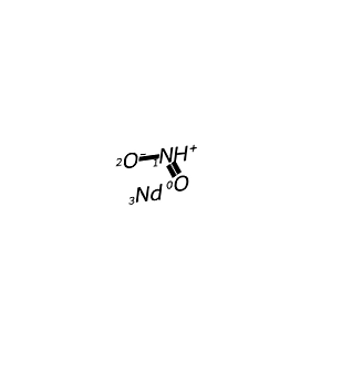 O=[NH+][O-].[Nd]